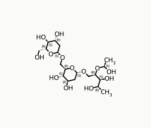 C[C@@H](O)O[C@H](CO[C@@H]1C[C@@H](O)[C@H](O)[C@@H](CO[C@@H]2C[C@@H](O)[C@H](O)[C@@H](CO)O2)O1)[C@@H](O)[C@@H](C)O